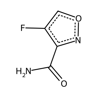 NC(=O)c1nocc1F